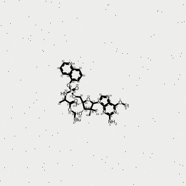 CCOc1nc(N)nc2c1ncn2C1O[C@](F)(COP(=O)(NC(C)C(=O)OCC(C)(C)C)Oc2cccc3ncccc23)[C@@H](O)[C@@]1(C)F